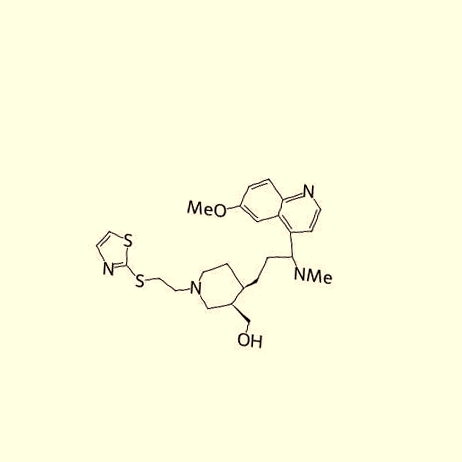 CNC(CC[C@@H]1CCN(CCSc2nccs2)C[C@@H]1CO)c1ccnc2ccc(OC)cc12